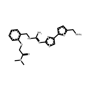 CC(=O)NCc1ccc(-c2csc(/N=C(\N)NCc3ccccc3OCC(=O)N(C)C)n2)o1